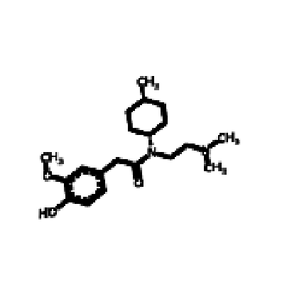 COc1cc(CC(=O)N(CCN(C)C)[C@H]2CC[C@H](C)CC2)ccc1O